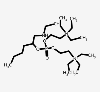 CCCCC(CNCC)OP(=O)(OCC[N+](CC)(CC)CC)OCC[N+](CC)(CC)CC